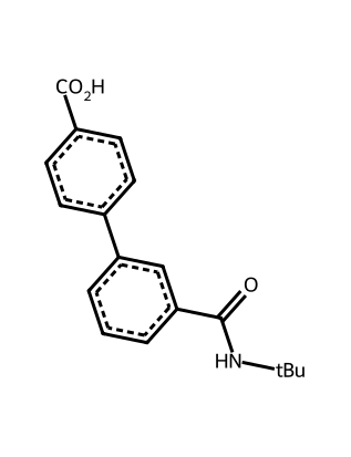 CC(C)(C)NC(=O)c1cccc(-c2ccc(C(=O)O)cc2)c1